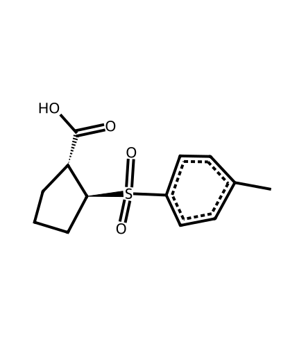 Cc1ccc(S(=O)(=O)[C@H]2CCC[C@@H]2C(=O)O)cc1